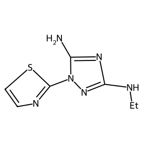 CCNc1nc(N)n(-c2nccs2)n1